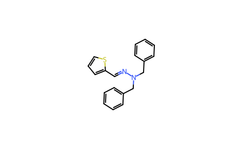 C(=NN(Cc1ccccc1)Cc1ccccc1)c1cccs1